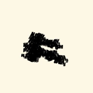 C=C1C(=CC=C2CCC[C@]3(C)C([C@H](C)OCC(=O)N(C)OC)=CCC23)C[C@@H](O[Si](C)(C)C(C)(C)C)C[C@@H]1O[Si](C)(C)C(C)(C)C.C=C1C(=CC=C2CCC[C@]3(C)C([C@H](C)OCC(=O)O)=CCC23)C[C@@H](O[Si](C)(C)C(C)(C)C)C[C@@H]1O[Si](C)(C)C(C)(C)C